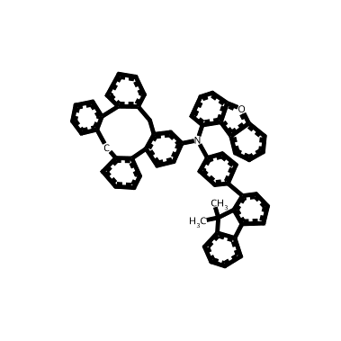 CC1(C)c2ccccc2-c2cccc(-c3ccc(N(c4ccc5c(c4)Cc4ccccc4-c4ccccc4Cc4ccccc4-5)c4cccc5oc6ccccc6c45)cc3)c21